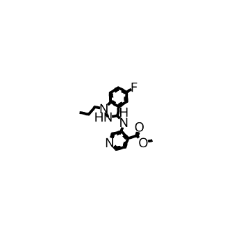 CCCN1NC(Nc2cnccc2C(=O)OC)c2cc(F)ccc21